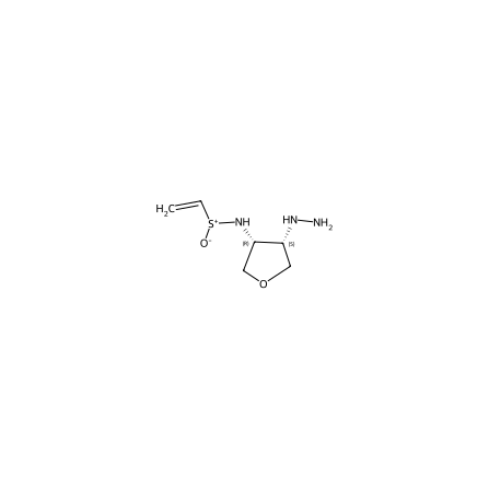 C=C[S+]([O-])N[C@H]1COC[C@H]1NN